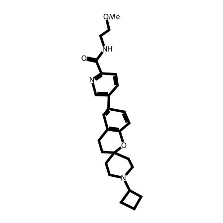 COCCNC(=O)c1ccc(-c2ccc3c(c2)CCC2(CCN(C4CCC4)CC2)O3)cn1